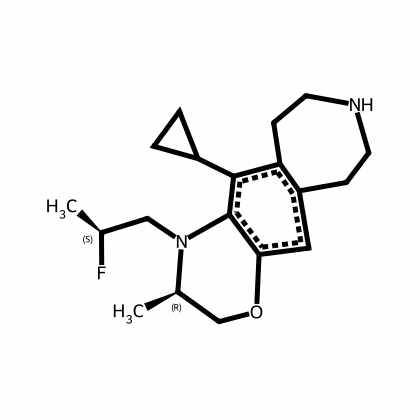 C[C@H](F)CN1c2c(cc3c(c2C2CC2)CCNCC3)OC[C@H]1C